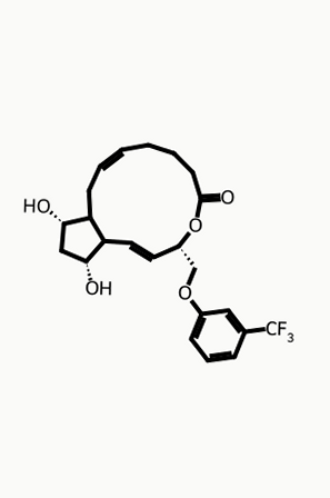 O=C1CCC/C=C\CC2C(/C=C/[C@@H](COc3cccc(C(F)(F)F)c3)O1)[C@H](O)C[C@@H]2O